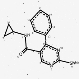 CSc1ncc(C(=O)NC2CC2)c(-c2ccccc2)n1